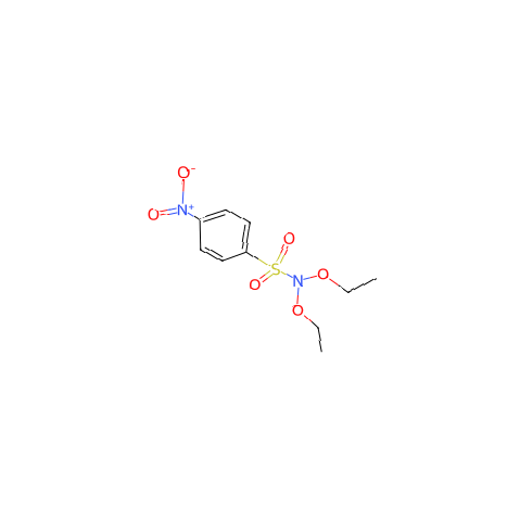 CCON(OCC)S(=O)(=O)c1ccc([N+](=O)[O-])cc1